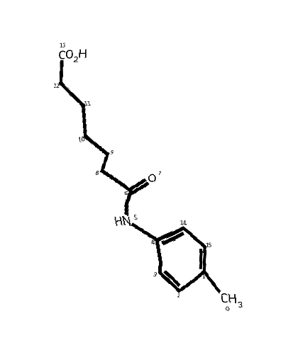 Cc1ccc(NC(=O)CCCCCC(=O)O)cc1